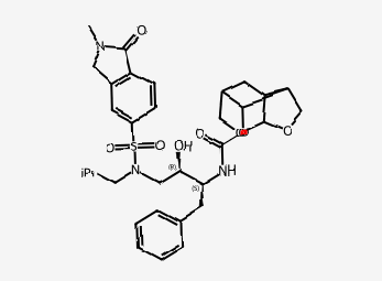 CC(C)CN(C[C@@H](O)[C@H](Cc1ccccc1)NC(=O)OC1C2COC3OCC1C3C2)S(=O)(=O)c1ccc2c(c1)CN(C)C2=O